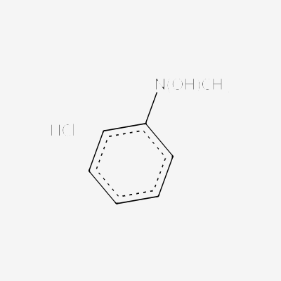 CN(O)c1ccccc1.Cl